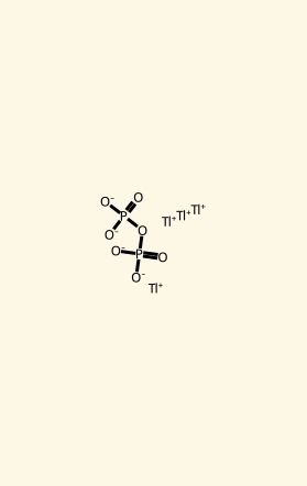 O=P([O-])([O-])OP(=O)([O-])[O-].[Tl+].[Tl+].[Tl+].[Tl+]